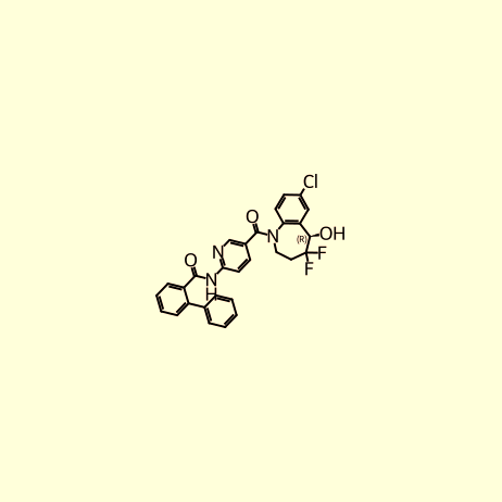 O=C(Nc1ccc(C(=O)N2CCC(F)(F)[C@H](O)c3cc(Cl)ccc32)cn1)c1ccccc1-c1ccccc1